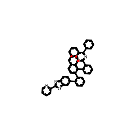 c1ccc(-c2nc(-c3ccccc3-c3c(-c4ccccc4-c4ccc5nc(-c6ccccn6)oc5c4)ccc4ccccc34)nc3ccccc23)cc1